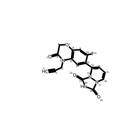 C#CCN1C(=O)COc2cc(F)c(-c3cccn4c(=O)[nH]c(=O)n34)cc21